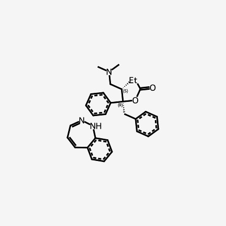 C1=Cc2ccccc2NN=C1.CCC(=O)O[C@@](Cc1ccccc1)(c1ccccc1)[C@@H](C)CN(C)C